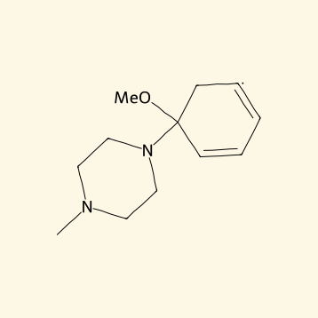 COC1(N2CCN(C)CC2)C=CC=[C]C1